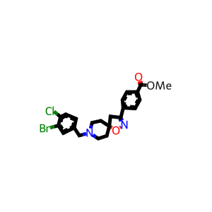 COC(=O)c1ccc(C2=NOC3(CCN(Cc4ccc(Cl)c(Br)c4)CC3)C2)cc1